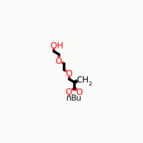 C=C(COCCOCCO)C(=O)OCCCC